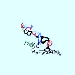 CC(=O)Nc1c(C)cc(Oc2ccc3nc(COc4ccc(CC5SC(=O)NC5=O)cc4)n(C)c3c2)cc1C.Cl